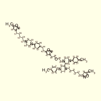 Cc1ccc(N2CCN(CCCCCCc3cc(C)on3)C(C3CN(c4ccc(C)cc4)CCN3CCOCCc3cc(CCc4ccc(N5CCN(CCCCCc6cc(C)on6)CC5)cc4)on3)C2)cc1